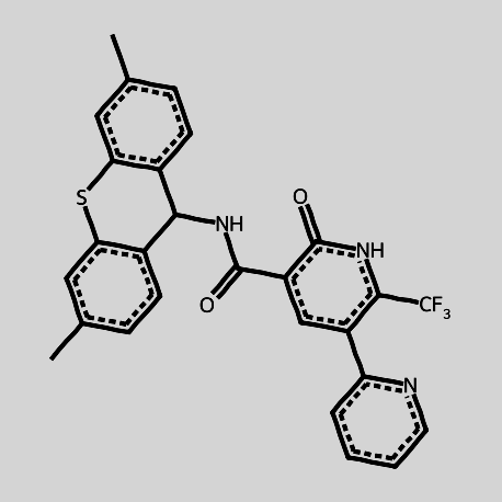 Cc1ccc2c(c1)Sc1cc(C)ccc1C2NC(=O)c1cc(-c2ccccn2)c(C(F)(F)F)[nH]c1=O